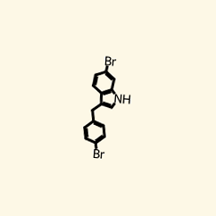 Brc1ccc(Cc2c[nH]c3cc(Br)ccc23)cc1